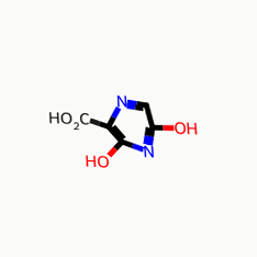 O=C(O)c1ncc(O)nc1O